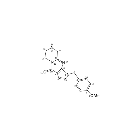 COc1ccc(Cn2ncc3c(=O)n4c(nc32)CNCC4)cc1